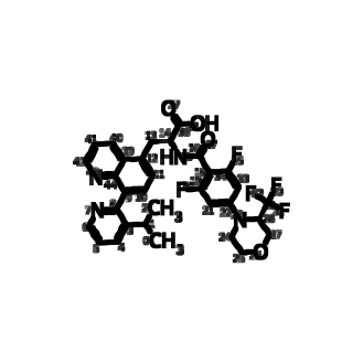 CC(C)c1cccnc1-c1ccc(C[C@H](NC(=O)c2c(F)cc(N3CCOC[C@@H]3C(F)(F)F)cc2F)C(=O)O)c2cccnc12